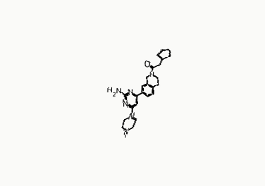 CN1CCN(c2cc(-c3ccc4c(c3)CN(C(=O)CC3CCCC3)CC4)nc(N)n2)CC1